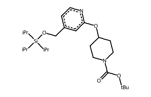 CC(C)[Si](OCc1ccnc(OC2CCN(C(=O)OC(C)(C)C)CC2)c1)(C(C)C)C(C)C